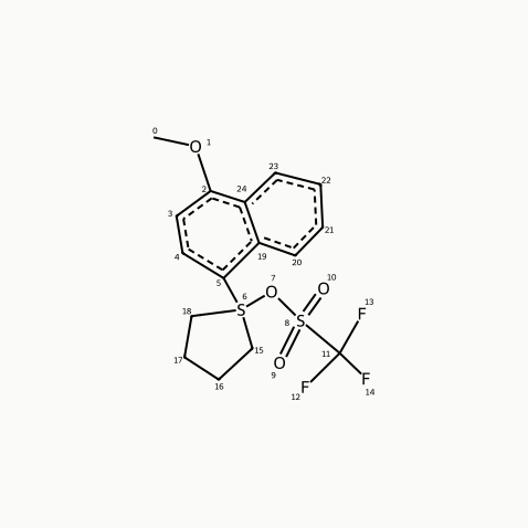 COc1ccc(S2(OS(=O)(=O)C(F)(F)F)CCCC2)c2ccccc12